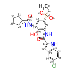 CCS(=O)(=O)c1cc(NC(=O)c2cc3cc(Cl)ccc3[nH]2)c(O)c(NC(=O)C2CCCC2)c1